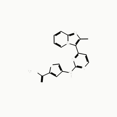 COC(=O)c1cc(Nc2nccc(-c3c(C)nc4ccccn34)n2)cs1